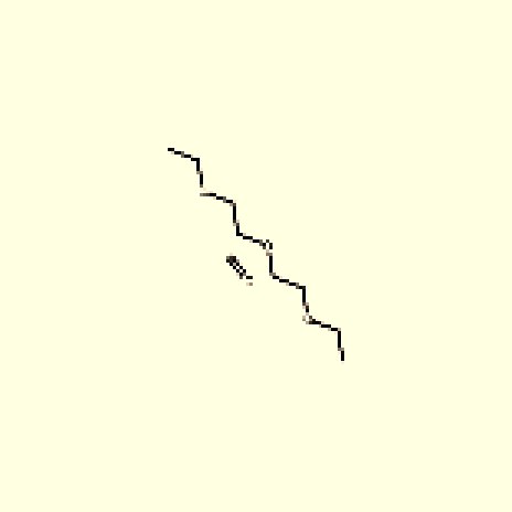 C=O.CCOCCOCCOCC